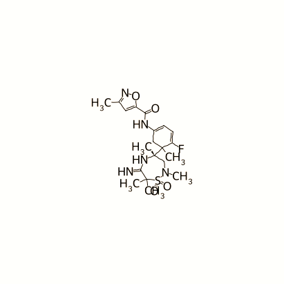 Cc1cc(C(=O)NC2=CC=C(F)C(C)([C@]3(C)CN(C)S(=O)(=O)C(C)(C)C(=N)N3)C2)on1